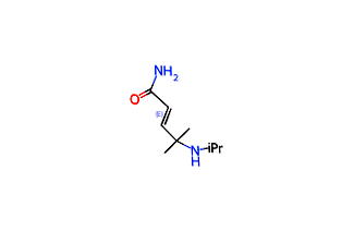 CC(C)NC(C)(C)/C=C/C(N)=O